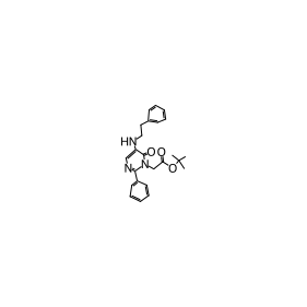 CC(C)(C)OC(=O)Cn1c(-c2ccccc2)ncc(NCCc2ccccc2)c1=O